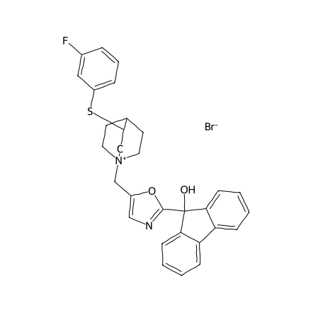 OC1(c2ncc(C[N+]34CCC(CC3)C(Sc3cccc(F)c3)C4)o2)c2ccccc2-c2ccccc21.[Br-]